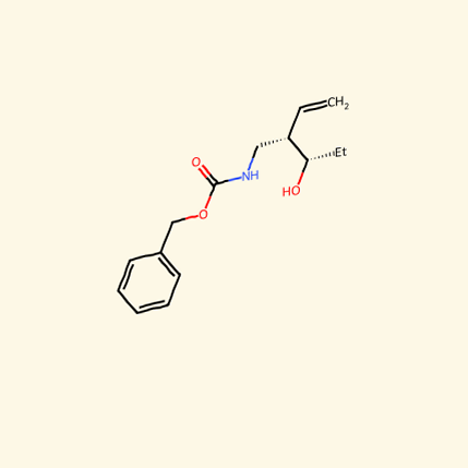 C=C[C@@H](CNC(=O)OCc1ccccc1)[C@@H](O)CC